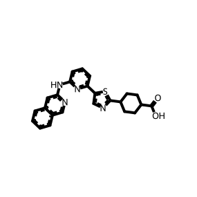 O=C(O)C1CCC(c2ncc(-c3cccc(Nc4cc5ccccc5cn4)n3)s2)CC1